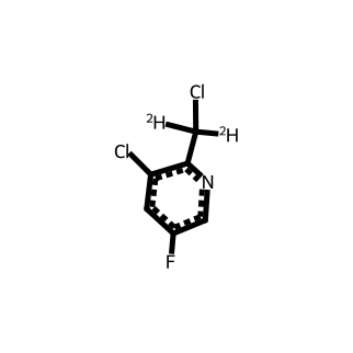 [2H]C([2H])(Cl)c1ncc(F)cc1Cl